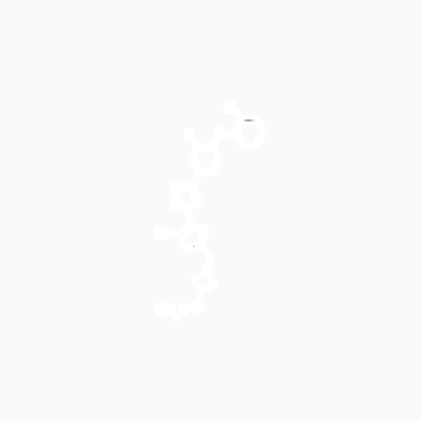 CCc1cc(CN2CC(OC(=O)O)C2)sc1-c1noc(-c2ccc(Oc3ccccc3Cl)c(F)c2)n1